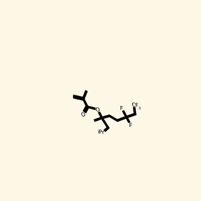 C=C(C)C(=O)OC(C)(CCC(F)(F)CC(F)(F)F)CC(C)C